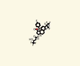 O=CC1C[C@@H](NC(=O)C[C@@H](O)C(F)(F)F)[C@@H]2CCc3cc(C(F)(C(F)(F)F)C(F)(F)F)ccc3[C@@]12S(=O)(=O)c1ccc(F)cc1